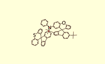 CC(C)(C)c1ccc2c(c1)C1(c3ccccc3Oc3ccc(N(c4ccccc4)c4ccc5c(c4)C4(c6ccccc6Sc6ccccc64)c4ccccc4-5)cc31)c1cc(C(C)(C)C)ccc1-2